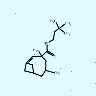 CC1CC2CC(=CC(C)(C(=O)NCCC(C)(C)C)C1)C2